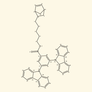 O=C(OCCCCCC1CC2C=CC1C2)c1cc(-n2c3ccccc3c3ccccc32)cc(-n2c3ccccc3c3ccccc32)c1